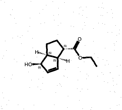 CCOC(=O)[C@H]1CC[C@H]2[C@@H]1C=C[C@H]2O